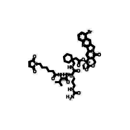 CC[C@@]1(OC(=O)CC2(CNC(=O)[C@H](CCCNC(N)=O)NC(=O)[C@@H](NC(=O)CCCCCN3C(=O)C=CC3=O)C(C)C)CCCCC2)C(=O)OCc2c1cc1n(c2=O)Cc2cc3c(Br)cccc3nc2-1